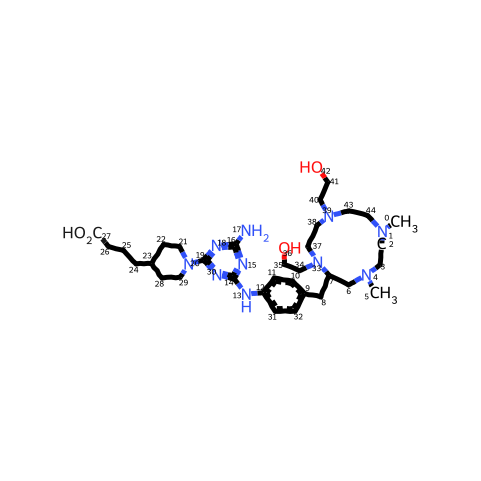 CN1CCN(C)CC(Cc2ccc(Nc3nc(N)nc(N4CCC(CCCC(=O)O)CC4)n3)cc2)N(CCO)CCN(CCO)CC1